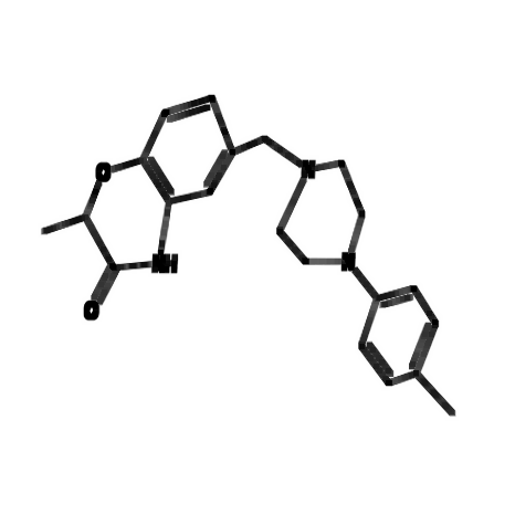 Cc1ccc(N2CCN(Cc3ccc4c(c3)NC(=O)C(C)O4)CC2)cc1